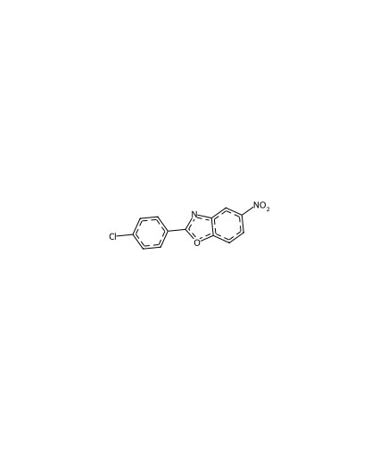 O=[N+]([O-])c1ccc2oc(-c3ccc(Cl)cc3)nc2c1